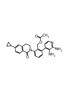 CC(=O)OCc1c(-c2ccnc(N)c2N)cccc1N1CCc2cc(C3CC3)ccc2C1=O